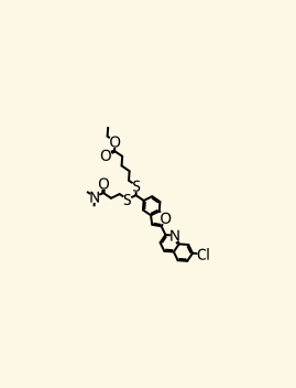 CCOC(=O)CCCCSC(SCCC(=O)N(C)C)c1ccc2oc(-c3ccc4ccc(Cl)cc4n3)cc2c1